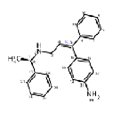 C[C@@H](NC/C=C(/c1ccccc1)c1ccc(N)cc1)c1ccccc1